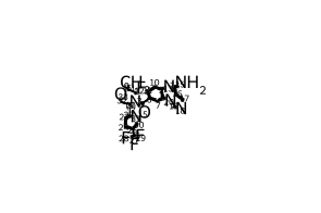 C[C@H]1CN(C(=O)c2cc3c(cc2F)nc(N)c2cncn23)[C@@H](c2ccc(C(F)(F)F)cn2)CO1